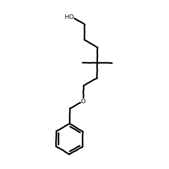 CC(C)(CCCO)CCOCc1ccccc1